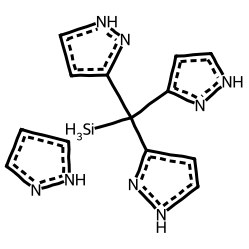 [SiH3]C(c1cc[nH]n1)(c1cc[nH]n1)c1cc[nH]n1.c1cn[nH]c1